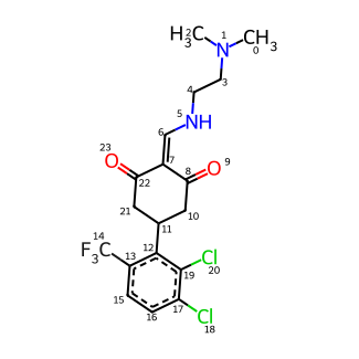 CN(C)CCNC=C1C(=O)CC(c2c(C(F)(F)F)ccc(Cl)c2Cl)CC1=O